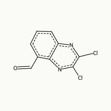 O=Cc1cccc2nc(Cl)c(Cl)nc12